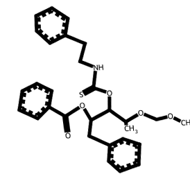 COCOC(C)C(OC(=S)NCCc1ccccc1)C(Cc1ccccc1)OC(=O)c1ccccc1